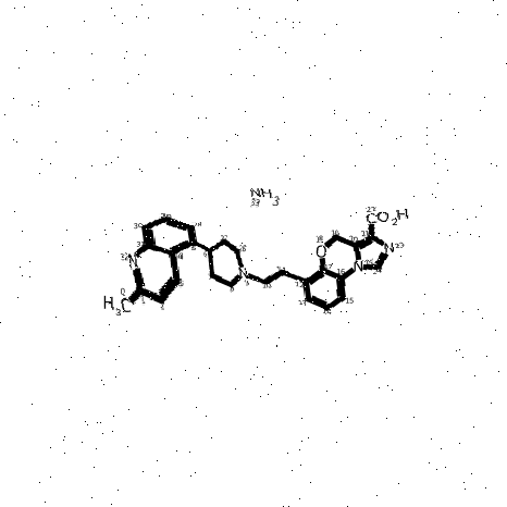 Cc1ccc2c(C3CCN(CCc4cccc5c4OCc4c(C(=O)O)ncn4-5)CC3)cccc2n1.N